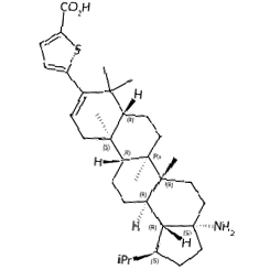 CC(C)[C@@H]1CC[C@]2(N)CC[C@]3(C)[C@H](CC[C@@H]4[C@@]5(C)CC=C(c6ccc(C(=O)O)s6)C(C)(C)[C@@H]5CC[C@]43C)[C@@H]12